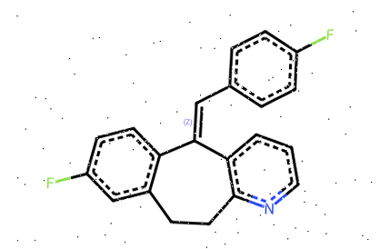 Fc1ccc(/C=C2/c3ccc(F)cc3CCc3ncccc32)cc1